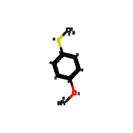 CCCOc1ccc(SC(F)(F)F)cc1